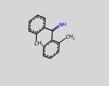 Cc1ccccc1C(=N)c1ccccc1C